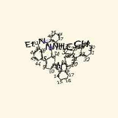 CCC(/N=C(\N=C(/N)c1cccc(-n2c3ccccc3c3cc4c(cc32)C(C)(C)c2ccccc2-4)c1)c1ccccc1)c1ccccc1